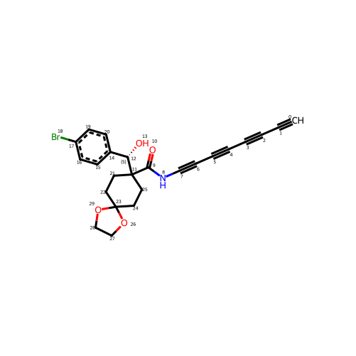 C#CC#CC#CC#CNC(=O)C1([C@@H](O)c2ccc(Br)cc2)CCC2(CC1)OCCO2